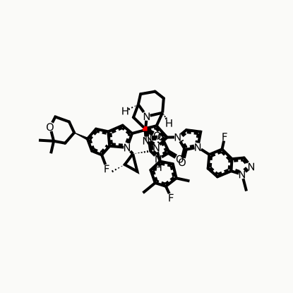 Cc1cc(-n2nc3c(c2-n2ccn(-c4ccc5c(cnn5C)c4F)c2=O)[C@@H]2CCC[C@H](C3)N2C(=O)c2cc3cc([C@@H]4CCOC(C)(C)C4)cc(F)c3n2[C@@]2(c3noc(=O)[nH]3)C[C@@H]2C)cc(C)c1F